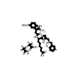 CCC(=O)CCCCCC(NC(=O)Cc1c(C)[nH]c2ccc(OC)cc12)c1ncc(CN(C)Cc2ccccc2)[nH]1.O=C(O)C(F)(F)F.O=C(O)C(F)(F)F